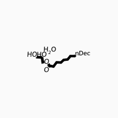 CCCCCCCCCCCCCCCCCC(=O)OCC(O)CO.O